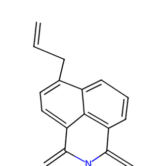 C=CCc1ccc2c3c(cccc13)C(=C)NC2=C